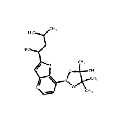 CC(C)CC(O)c1cc2nccc(B3OC(C)(C)C(C)(C)O3)c2s1